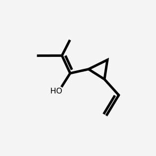 C=CC1CC1C(O)=C(C)C